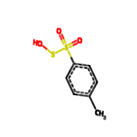 Cc1ccc(S(=O)(=O)SO)cc1